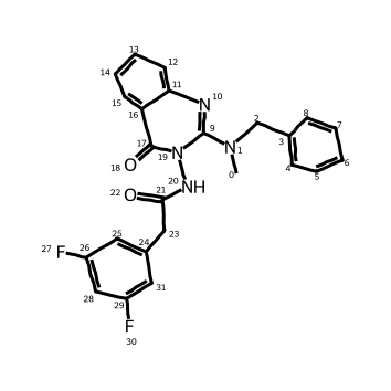 CN(Cc1ccccc1)c1nc2ccccc2c(=O)n1NC(=O)Cc1cc(F)cc(F)c1